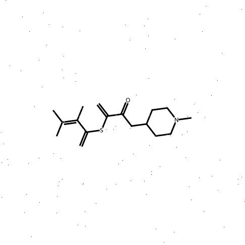 C=C(SC(=C)C(C)=C(C)C)C(=O)CC1CCN(C)CC1